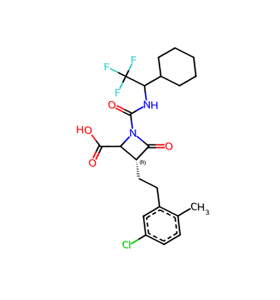 Cc1ccc(Cl)cc1CC[C@H]1C(=O)N(C(=O)NC(C2CCCCC2)C(F)(F)F)C1C(=O)O